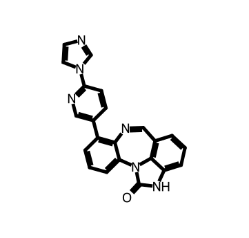 O=c1[nH]c2cccc3c2n1-c1cccc(-c2ccc(-n4ccnc4)nc2)c1N=C3